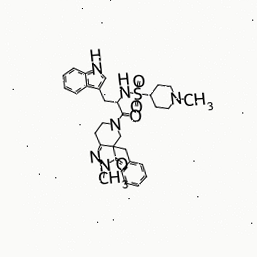 CN1CCC(S(=O)(=O)NC(Cc2c[nH]c3ccccc23)C(=O)N2CCC3=NN(C)C(=O)C3(Cc3ccccc3)C2)CC1